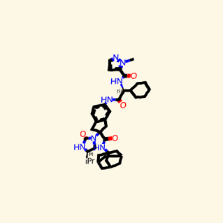 CC(C)[C@@H]1CN(C2(C(=O)NC34CC5CC(CC(C5)C3)C4)Cc3ccc(NC(=O)[C@@H](NC(=O)c4ccnn4C)C4CCCCC4)cc3C2)C(=O)N1